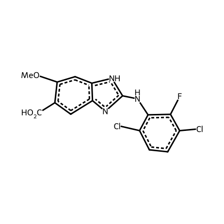 COc1cc2[nH]c(Nc3c(Cl)ccc(Cl)c3F)nc2cc1C(=O)O